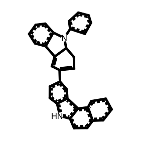 C1=C(c2ccc3[nH]c4ccc5ccccc5c4c3c2)C=C2c3ccccc3N(c3ccccc3)C2C1